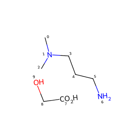 CN(C)CCCN.O=C(O)CO